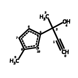 C#CC(C)(O)c1ccc(C)s1